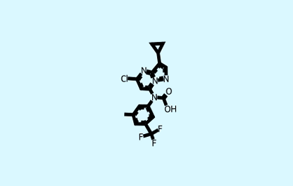 Cc1cc(N(C(=O)O)c2cc(Cl)nc3c(C4CC4)cnn23)cc(C(F)(F)F)c1